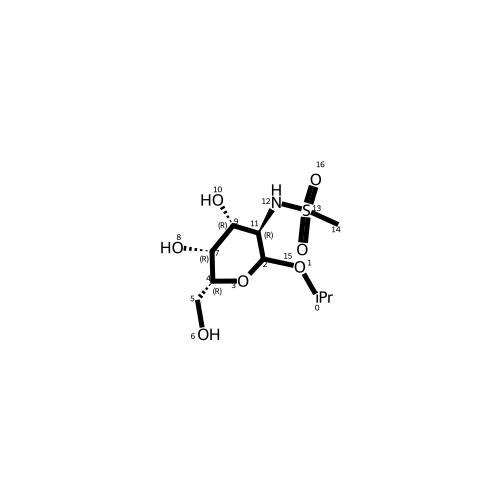 CC(C)OC1O[C@H](CO)[C@H](O)[C@H](O)[C@H]1NS(C)(=O)=O